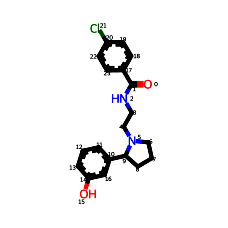 O=C(NCCN1CCCC1c1cccc(O)c1)c1ccc(Cl)cc1